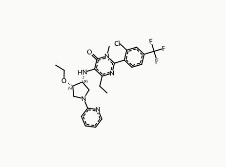 CCO[C@H]1CN(c2ccccn2)C[C@H]1Nc1c(CC)nc(-c2ccc(C(F)(F)F)cc2Cl)n(C)c1=O